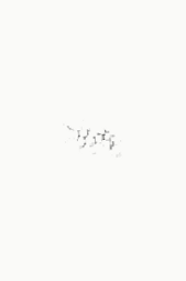 C=CNc1c(C#N)c(C)cc(-c2ccc3c(c2)ncn3C2CCCCC2)c1[C@H](C)CC